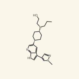 CCCN(CCO)[C@H]1CC[C@@H](c2cnc3[nH]cc(-c4cnn(C)c4)c3c2)CC1